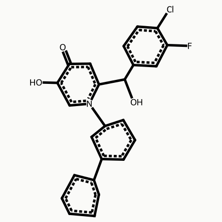 O=c1cc(C(O)c2ccc(Cl)c(F)c2)n(-c2cccc(-c3ccccc3)c2)cc1O